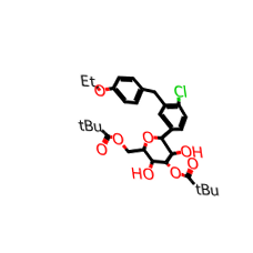 CCOc1ccc(Cc2cc(C3OC(COC(=O)C(C)(C)C)C(O)C(OC(=O)C(C)(C)C)C3O)ccc2Cl)cc1